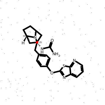 NC(=O)N[C@H]1CC2CC[C@@H](C1)N2CCc1ccc(Oc2nc3cccnc3s2)cc1